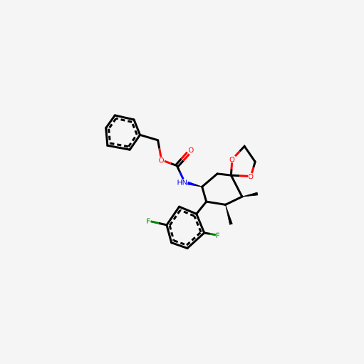 C[C@H]1C(c2cc(F)ccc2F)[C@@H](NC(=O)OCc2ccccc2)CC2(OCCO2)[C@H]1C